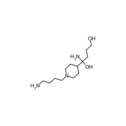 NCCCCN1CCC(C(N)(O)CCCO)CC1